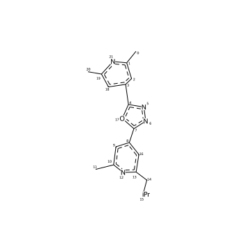 Cc1cc(-c2nnc(-c3cc(C)nc(CC(C)C)c3)o2)cc(C)n1